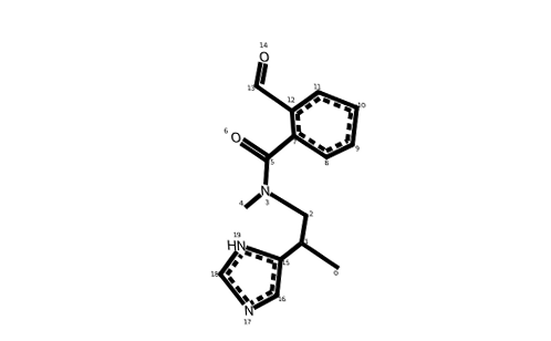 CC(CN(C)C(=O)c1ccccc1C=O)c1cnc[nH]1